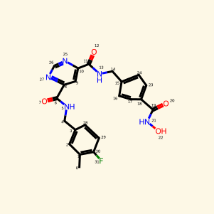 Cc1cc(CNC(=O)c2cc(C(=O)NCc3ccc(C(=O)NO)cc3)ncn2)ccc1F